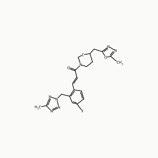 Cc1nnn(Cc2cc(F)ccc2/C=C/C(=O)N2CCC(Cc3nnc(C)o3)CC2)n1